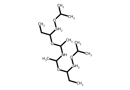 CCC(OC(C)NC(C)OC(CC)[SiH2]OC(C)C)[SiH2]OC(C)C